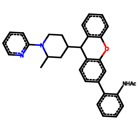 CC(=O)Nc1ccccc1-c1ccc2c(c1)Oc1ccccc1C2C1CCN(c2ccccn2)C(C)C1